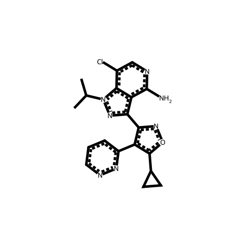 CC(C)n1nc(-c2noc(C3CC3)c2-c2cccnn2)c2c(N)ncc(Cl)c21